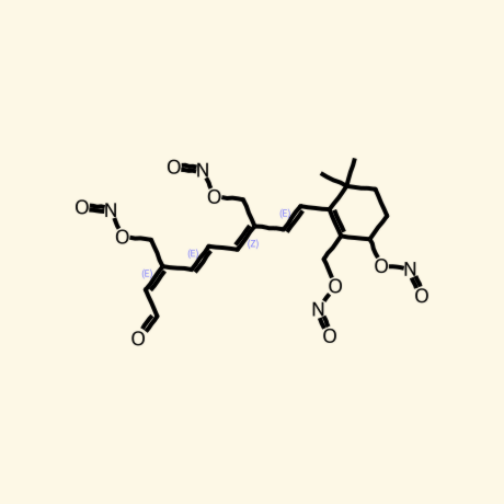 CC1(C)CCC(ON=O)C(CON=O)=C1/C=C/C(=C/C=C/C(=C\C=O)CON=O)CON=O